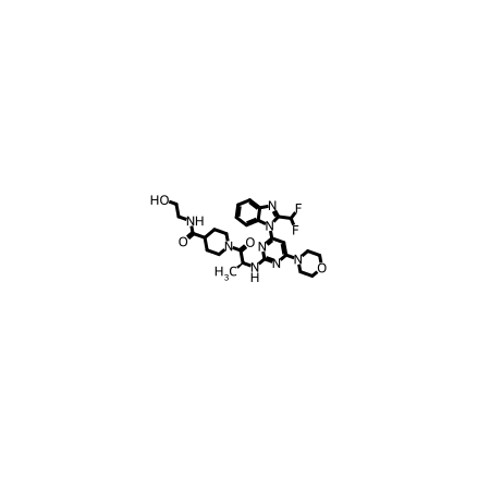 C[C@H](Nc1nc(N2CCOCC2)cc(-n2c(C(F)F)nc3ccccc32)n1)C(=O)N1CCC(C(=O)NCCO)CC1